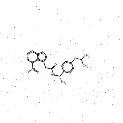 CC(C)Oc1ccc([C@H](C)NC(=O)Cn2cnc3cccc([N+](=O)[O-])c32)cc1